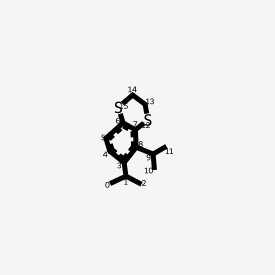 CC(C)c1ccc2c(c1C(C)C)SCCS2